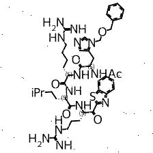 CC(=O)N[C@@H](Cc1cncn1COCc1ccccc1)C(=O)N[C@@H](CCCCNC(=N)N)C(=O)N[C@@H](CCC(C)C)C(=O)N[C@@H](CCCNC(=N)N)C(=O)c1nc2ccccc2s1